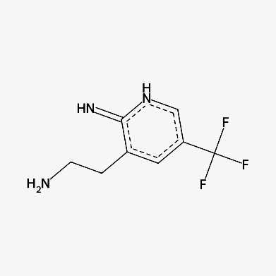 N=c1[nH]cc(C(F)(F)F)cc1CCN